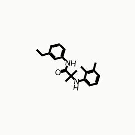 CCc1cccc(NC(=O)C(C)(C)Nc2cccc(C)c2C)c1